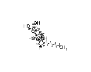 CCCCCCCCc1cc(F)ccc1NS(=O)(=O)C1CCC2(C=C1C(=O)O)O[C@@H](CO)[C@H](CO)O2